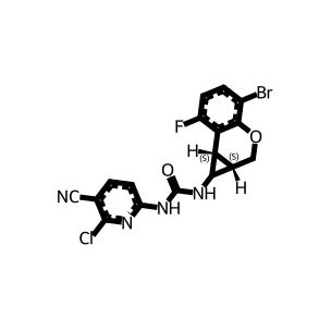 N#Cc1ccc(NC(=O)NC2[C@H]3COc4c(Br)ccc(F)c4[C@@H]23)nc1Cl